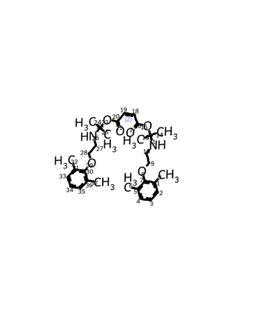 Cc1cccc(C)c1OCCNC(C)(C)OC(=O)/C=C\C(=O)OC(C)(C)NCCOc1c(C)cccc1C